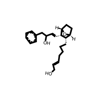 OCC=CCCCC[C@@H]1[C@H](C=CC(O)Cc2ccccc2)[C@@H]2CC[C@@H]1O2